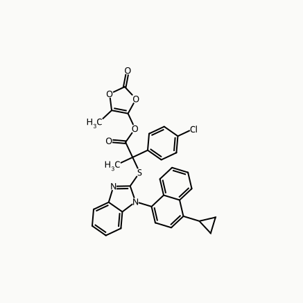 Cc1oc(=O)oc1OC(=O)C(C)(Sc1nc2ccccc2n1-c1ccc(C2CC2)c2ccccc12)c1ccc(Cl)cc1